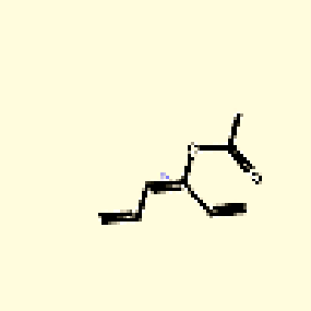 C=C/C=C(\C=C)OC(C)=O